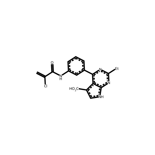 C=C(Cl)C(=O)Nc1cccc(-c2nc(CC)nc3[nH]cc(C(=O)O)c23)c1